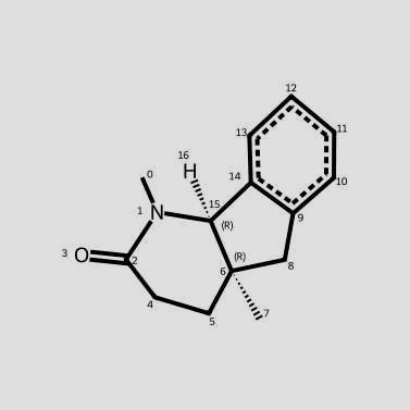 CN1C(=O)CC[C@]2(C)Cc3ccccc3[C@H]12